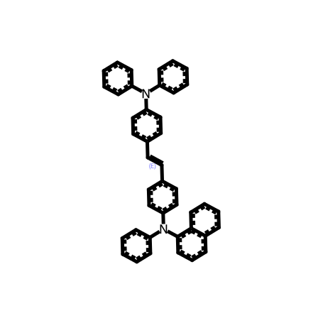 C(=C\c1ccc(N(c2ccccc2)c2cccc3ccccc23)cc1)/c1ccc(N(c2ccccc2)c2ccccc2)cc1